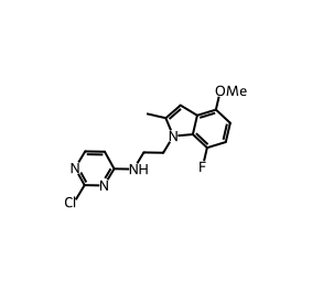 COc1ccc(F)c2c1cc(C)n2CCNc1ccnc(Cl)n1